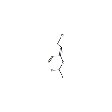 C=C/C(=C\CCl)OC(F)F